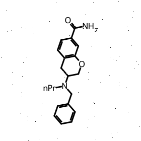 CCCN(Cc1ccccc1)C1COc2cc(C(N)=O)ccc2C1